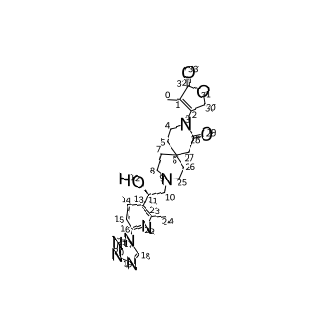 CC1=C(N2CCC3(CCN(C[C@H](O)c4ccc(-n5cnnn5)nc4C)CC3)CC2=O)COC1=O